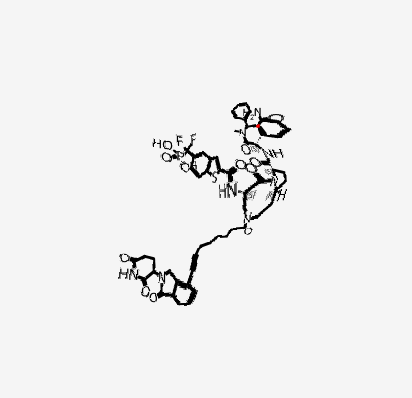 CN(C(=O)[C@H](CCC(N)=O)NC(=O)[C@@H]1CC[C@@H]2CCN(C(=O)CCCCCC#Cc3cccc4c3CN(C3CCC(=O)NC3=O)C4=O)C[C@H](NC(=O)c3cc4cc(C(F)(F)P(=O)(O)O)ccc4s3)C(=O)N21)C(c1ccccc1)c1ccccc1